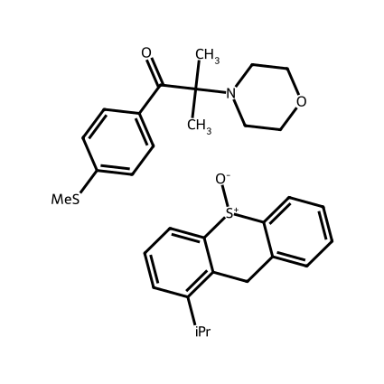 CC(C)c1cccc2c1Cc1ccccc1[S+]2[O-].CSc1ccc(C(=O)C(C)(C)N2CCOCC2)cc1